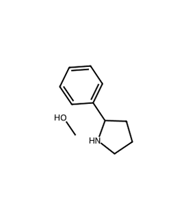 CO.c1ccc(C2CCCN2)cc1